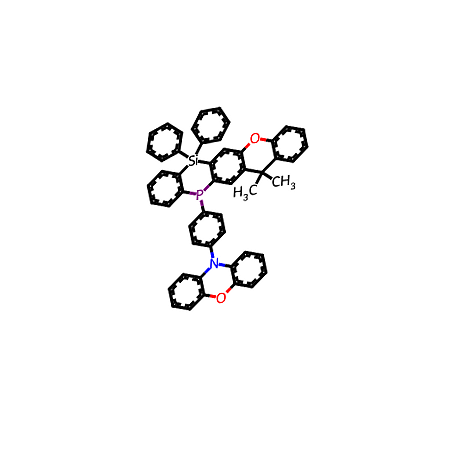 CC1(C)c2ccccc2Oc2cc3c(cc21)P(c1ccc(N2c4ccccc4Oc4ccccc42)cc1)c1ccccc1[Si]3(c1ccccc1)c1ccccc1